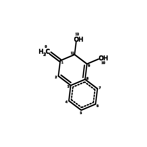 C=C1C=c2ccccc2=C(O)C1O